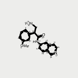 COc1cccc(C(CN)C(=O)Nc2ccc3cnccc3c2)c1